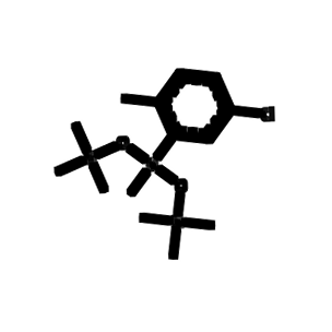 Cc1ccc(Cl)cc1[Si](C)(O[Si](C)(C)C)O[Si](C)(C)C